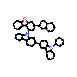 C1=c2oc3cc(-c4ccc5ccccc5c4)cc(-n4c5ccccc5c5ccc(-c6ccc7c(c6)c6ccccc6n7-c6ccccc6)cc54)c3c2=CCC1